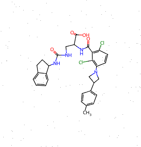 Cc1ccc(C2CN(c3ccc(Cl)c(C(=O)NC(CNC(=O)NC4CCc5ccccc54)C(=O)O)c3Cl)C2)cc1